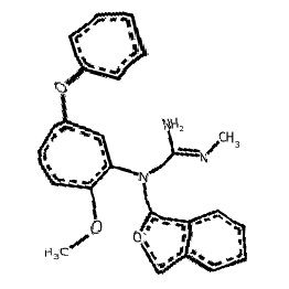 CN=C(N)N(c1cc(Oc2ccccc2)ccc1OC)c1occ2ccccc12